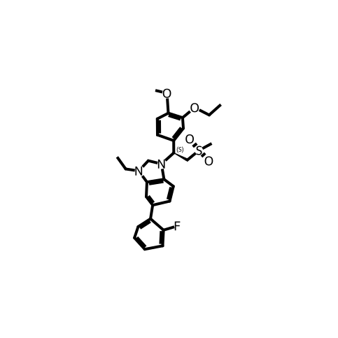 CCOc1cc([C@@H](CS(C)(=O)=O)N2CN(CC)c3cc(-c4ccccc4F)ccc32)ccc1OC